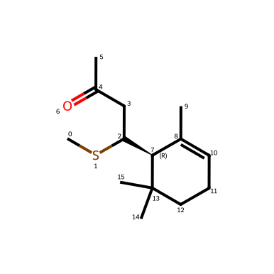 CSC(CC(C)=O)[C@H]1C(C)=CCCC1(C)C